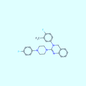 Fc1ccc(N2CCN(C3=Nc4ccccc4[C]N3c3ccc(F)c(C(F)(F)F)c3)CC2)cc1